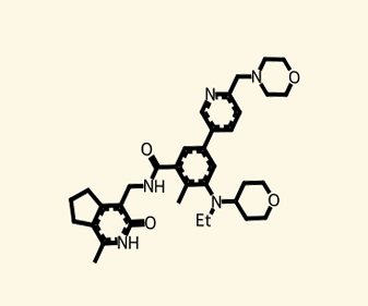 CCN(c1cc(-c2ccc(CN3CCOCC3)nc2)cc(C(=O)NCc2c3c(c(C)[nH]c2=O)CCC3)c1C)C1CCOCC1